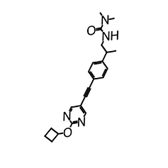 CC(CNC(=O)N(C)C)c1ccc(C#Cc2cnc(OC3CCC3)nc2)cc1